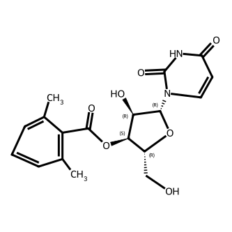 Cc1cccc(C)c1C(=O)O[C@H]1[C@@H](O)[C@H](n2ccc(=O)[nH]c2=O)O[C@@H]1CO